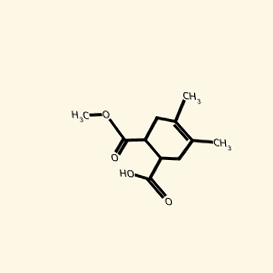 COC(=O)C1CC(C)=C(C)CC1C(=O)O